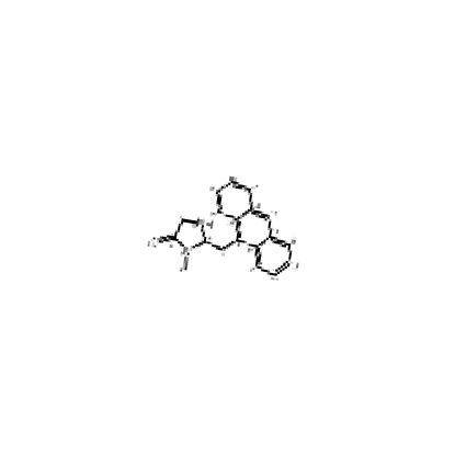 CN1C(=O)CN[C@H]1Cc1c2ccccc2cc2ccccc12